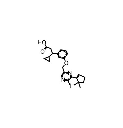 CC1(C)CCC=C1c1nc(COc2cccc(C(CC(=O)O)C3CC3)c2)cnc1I